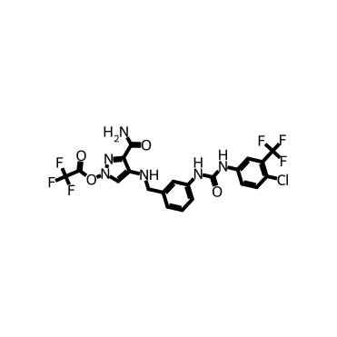 NC(=O)c1nn(OC(=O)C(F)(F)F)cc1NCc1cccc(NC(=O)Nc2ccc(Cl)c(C(F)(F)F)c2)c1